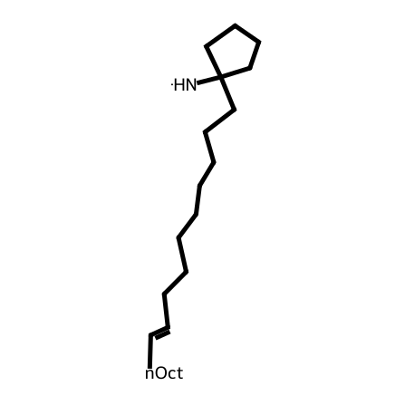 CCCCCCCCC=CCCCCCCCCC1([NH])CCCC1